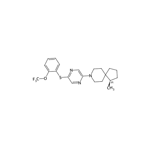 C[C@@H]1CCCC12CCN(c1cnc(Sc3ccccc3OC(F)(F)F)cn1)CC2